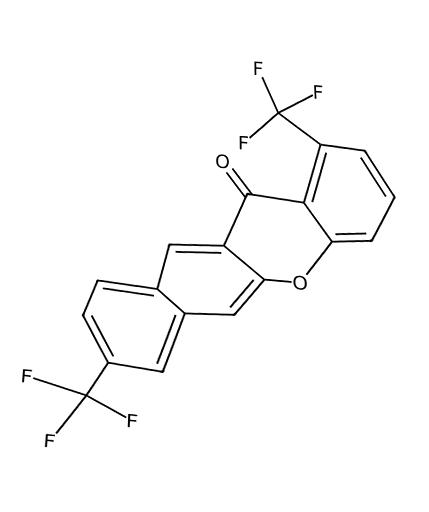 O=c1c2cc3ccc(C(F)(F)F)cc3cc2oc2cccc(C(F)(F)F)c12